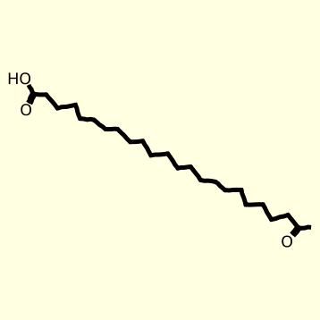 CC(=O)CCCCCCCCCCCCCCCCCCCCCC(=O)O